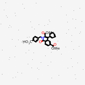 COC(=O)c1ccc2c(=O)n(Cc3ccc(C(=O)O)cc3)c(C(=O)OC)c(-c3ccccc3)c2c1